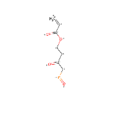 C=CC(=O)OCCC(=O)CP=O